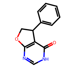 O=c1[nH]cnc2c1C(c1ccccc1)CO2